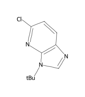 CC(C)(C)n1cnc2ccc(Cl)nc21